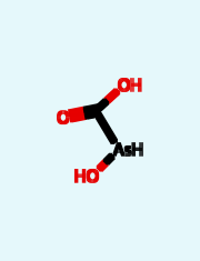 O=C(O)[AsH]O